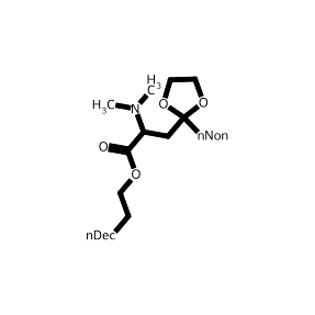 CCCCCCCCCCCCOC(=O)C(CC1(CCCCCCCCC)OCCO1)N(C)C